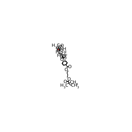 CCC(C)(C)C(=O)OCCCCOC(=O)c1ccc(OS(=O)(=O)C(F)(F)C(F)(F)C(F)(F)S(=O)(=O)NS(C)(=O)=O)cc1